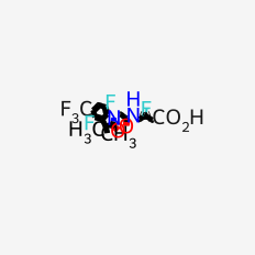 CC1(C)C(=O)N(CC(=O)NC[C@@H](F)CC(=O)O)c2c(F)cc(C(F)(F)F)c(F)c21